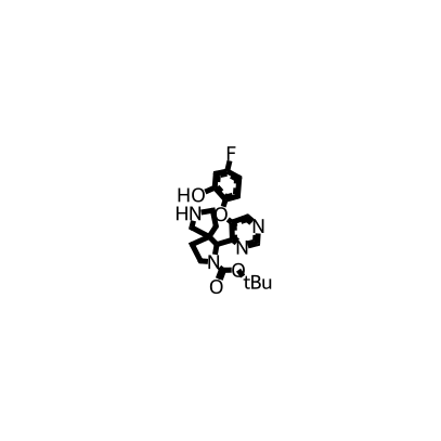 CC(C)(C)OC(=O)N1CCC2(CCNC2)C1c1ncncc1Oc1ccc(F)cc1O